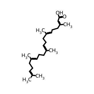 CC(C)=CCCC(C)=CCCC(C)=CCCC(C)=CCCC(C)=CC(=O)O